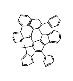 CC1(C)c2ccccc2-c2c(-c3ccccc3)c3c4c(c21)N(c1ccccc1-c1ccccc1)c1cccc(-c2ccccc2)c1C4(C)c1ccccc1-3